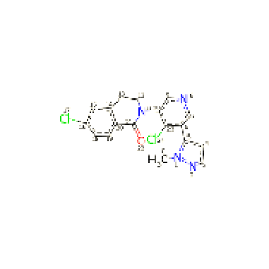 Cn1nccc1-c1cncc(N2CCc3cc(Cl)ccc3C2=O)c1Cl